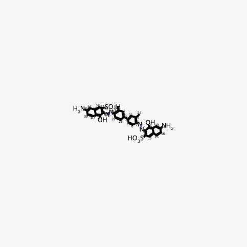 Cc1cc(-c2ccc(/N=N/c3c(S(=O)(=O)O)cc4ccc(N)cc4c3O)c(C)c2)ccc1/N=N/c1c(S(=O)(=O)O)cc2cc(N)ccc2c1O